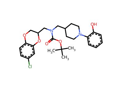 CC(C)(C)OC(=O)N(CC1CCN(c2ccccc2O)CC1)CC1COc2ccc(Cl)cc2O1